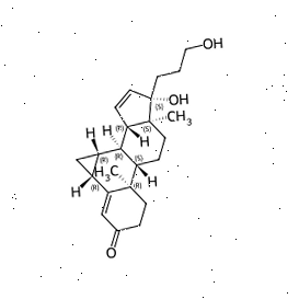 C[C@]12CCC(=O)C=C1[C@@H]1C[C@@H]1[C@@H]1[C@@H]2CC[C@@]2(C)[C@H]1C=C[C@@]2(O)CCCO